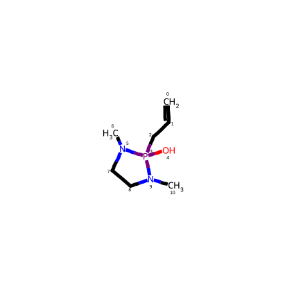 C=CC[P]1(O)N(C)CCN1C